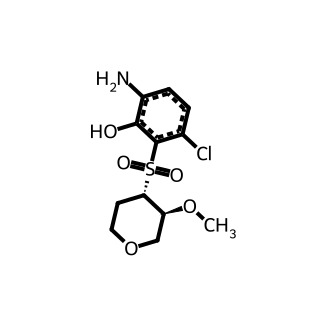 CO[C@H]1COCC[C@@H]1S(=O)(=O)c1c(Cl)ccc(N)c1O